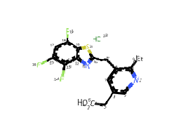 CCc1ncc(CC(=O)O)cc1Cc1nc2c(F)c(F)cc(F)c2s1.Cl